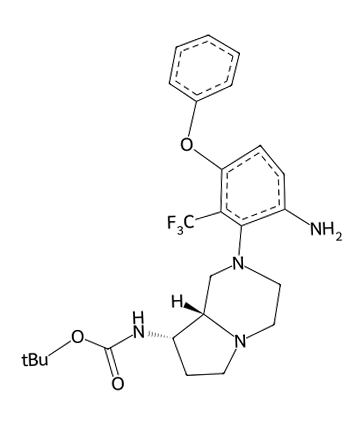 CC(C)(C)OC(=O)N[C@H]1CCN2CCN(c3c(N)ccc(Oc4ccccc4)c3C(F)(F)F)C[C@@H]12